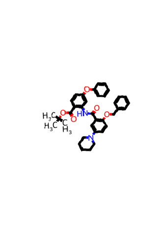 CC(C)(C)OC(=O)c1ccc(Oc2ccccc2)cc1NC(=O)c1cc(N2CCCCC2)ccc1OCc1ccccc1